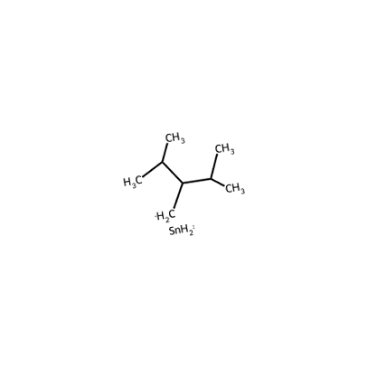 [CH2]C(C(C)C)C(C)C.[SnH2]